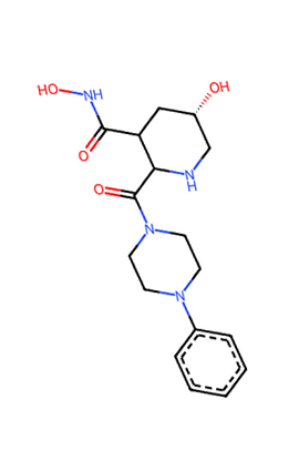 O=C(NO)C1C[C@H](O)CNC1C(=O)N1CCN(c2ccccc2)CC1